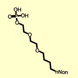 CCCCCCCCCCCCCOCCOCCOP(=O)(O)O